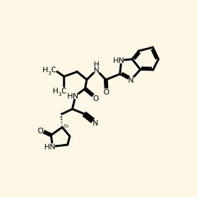 CC(C)CC(NC(=O)c1nc2ccccc2[nH]1)C(=O)NC(C#N)C[C@@H]1CCNC1=O